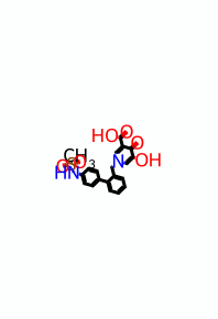 CS(=O)(=O)Nc1ccc(-c2ccccc2Cn2cc(O)c(=O)c(C(=O)O)c2)cc1